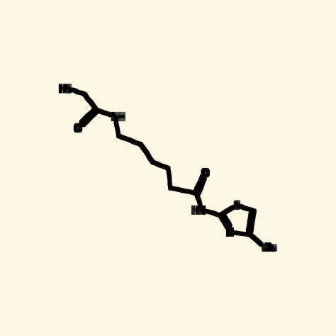 CC(C)(C)c1csc(NC(=O)CCCCCNC(=O)CS)n1